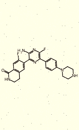 Nc1nc(F)c(-c2ccc(N3CCNCC3)cc2)nc1-c1cc2c(cc1F)C(=O)NCC2